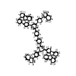 C1=Cc2ccnc(-c3ccc(-c4cc(-c5ccc6c(c5)C5(c7ccccc7-c7ccccc75)c5ccccc5-6)nc(-c5ccc(-c6ccc(-c7nc(-c8ccc(-c9nccc%10ccccc9%10)cc8)cc(-c8ccc9c(c8)C8(c%10ccccc%10-c%10ccccc%108)c8ccccc8-9)n7)cc6)cc5)n4)cc3)c2CC1